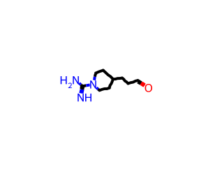 N=C(N)N1CCC(CCC=O)CC1